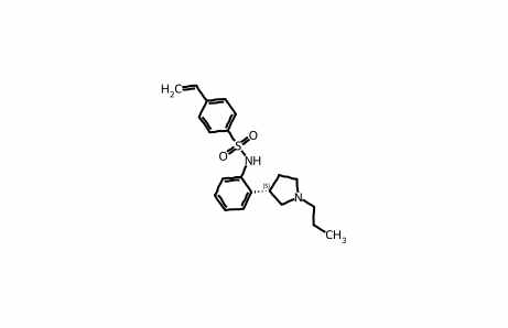 C=Cc1ccc(S(=O)(=O)Nc2ccccc2[C@@H]2CCN(CCC)C2)cc1